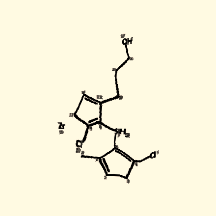 CC1=CCC(Cl)=C1[SiH2]C1=C(Cl)CC=C1CCCO.[Zr]